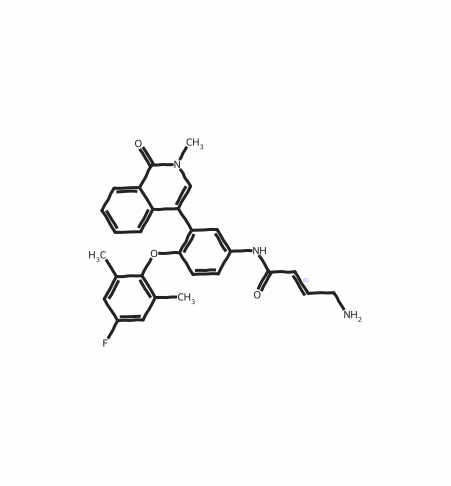 Cc1cc(F)cc(C)c1Oc1ccc(NC(=O)/C=C/CN)cc1-c1cn(C)c(=O)c2ccccc12